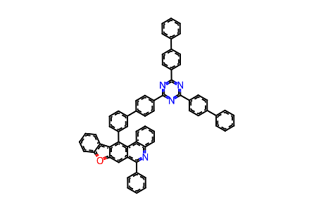 c1ccc(-c2ccc(-c3nc(-c4ccc(-c5ccccc5)cc4)nc(-c4ccc(-c5cccc(-c6c7c(cc8c(-c9ccccc9)nc9ccccc9c68)oc6ccccc67)c5)cc4)n3)cc2)cc1